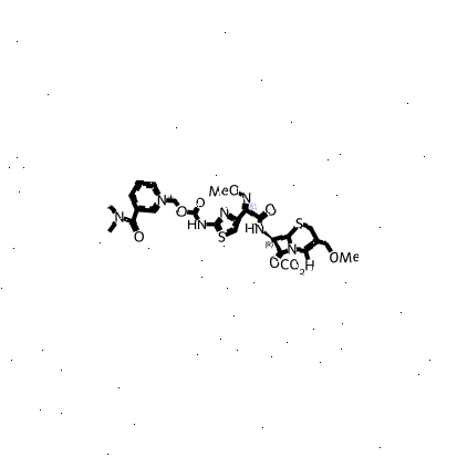 COCC1=C(C(=O)O)N2C(=O)[C@@H](NC(=O)/C(=N/OC)c3csc(NC(=O)OC[n+]4cccc(C(=O)N(C)C)c4)n3)C2SC1